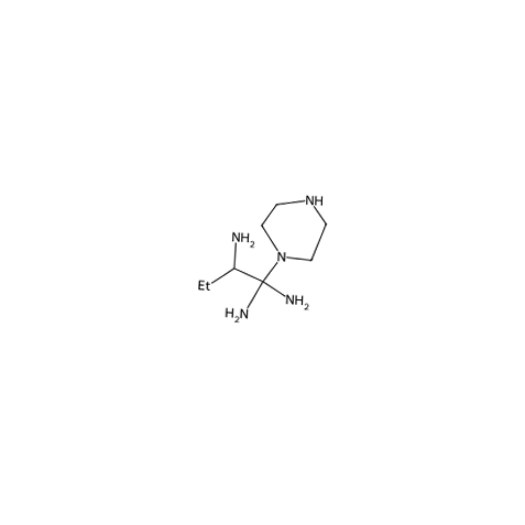 CCC(N)C(N)(N)N1CCNCC1